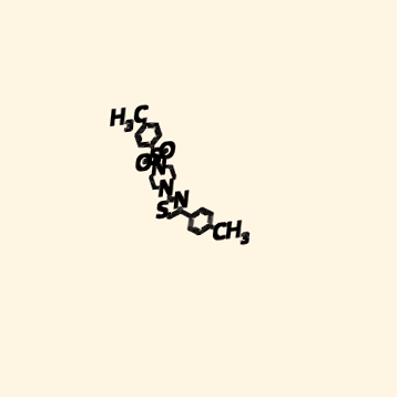 Cc1ccc(-c2csc(N3CCN(S(=O)(=O)c4ccc(C)cc4)CC3)n2)cc1